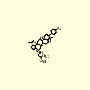 C=C(C)[C@@H]1CC[C@]2(CNCC(OCC)OCC)CC[C@]3(C)[C@H](CC[C@@H]4[C@@]5(C)CC=C(c6ccc(C(C)=O)cc6)C(C)(C)[C@@H]5CC[C@]43C)[C@@H]12